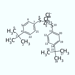 CC(C)(C)c1ccc([S][Zr+2][S]c2ccc(C(C)(C)C)cc2)cc1.[Cl-].[Cl-]